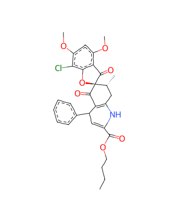 CCCCOC(=O)C1=CC(c2ccccc2)C2=C(C[C@@H](C)[C@]3(Oc4c(Cl)c(OC)cc(OC)c4C3=O)C2=O)N1